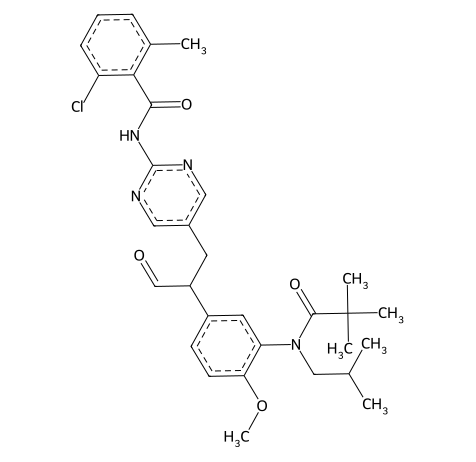 COc1ccc(C(C=O)Cc2cnc(NC(=O)c3c(C)cccc3Cl)nc2)cc1N(CC(C)C)C(=O)C(C)(C)C